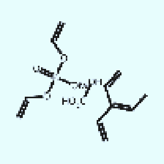 C=CC(C=C)=CC.C=COP(=O)(OC)OC=C.O=C(O)O